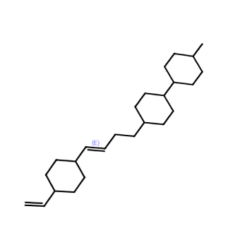 C=CC1CCC(/C=C/CCC2CCC(C3CCC(C)CC3)CC2)CC1